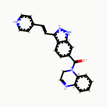 O=C(c1ccc2c(/C=C/c3ccncc3)n[nH]c2c1)N1CC=Nc2ccccc21